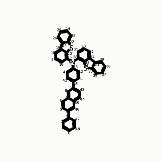 c1ccc(-c2ccc3cc(-c4ccc(N(c5cccc6c5sc5ccccc56)c5cccc6c5sc5ccccc56)cc4)ccc3c2)cc1